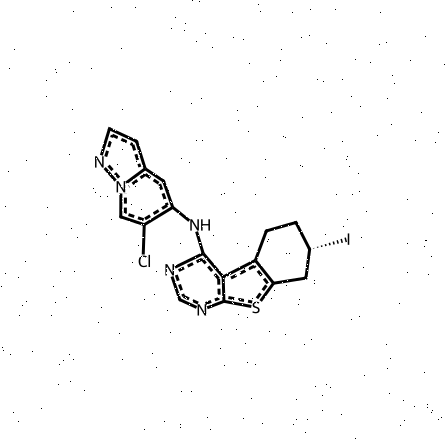 Clc1cn2nccc2cc1Nc1ncnc2sc3c(c12)CC[C@H](I)C3